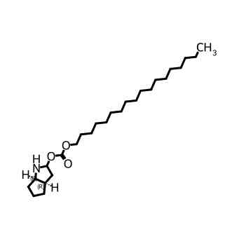 CCCCCCCCCCCCCCCCCCOC(=O)OC1C[C@H]2CCC[C@H]2N1